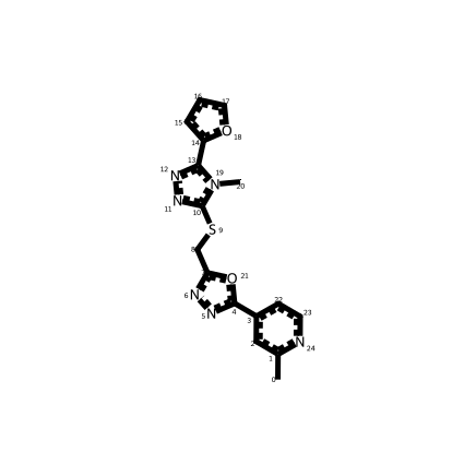 Cc1cc(-c2nnc(CSc3nnc(-c4ccco4)n3C)o2)ccn1